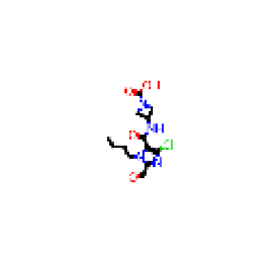 CCCCn1c(C=O)nc(Cl)c1C(=O)NC1CN(C(=O)O)C1